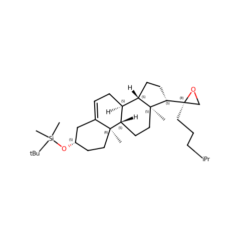 CC(C)CCC[C@@]1([C@H]2CC[C@H]3[C@@H]4CC=C5C[C@@H](O[Si](C)(C)C(C)(C)C)CC[C@]5(C)[C@H]4CC[C@]23C)CO1